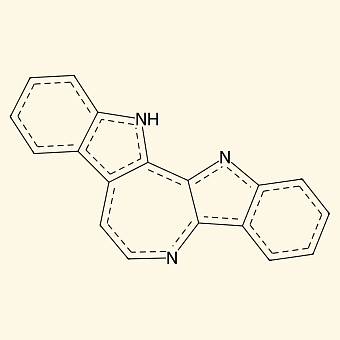 c1ccc2c3nccc4c([nH]c5ccccc54)c-3nc2c1